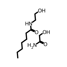 CCCCCCC(=O)NCCO.NC(=O)CO